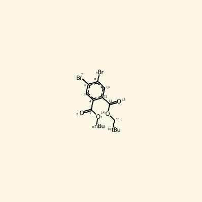 CCCCOC(=O)c1cc(Br)c(Br)cc1C(=O)OCC(C)(C)C